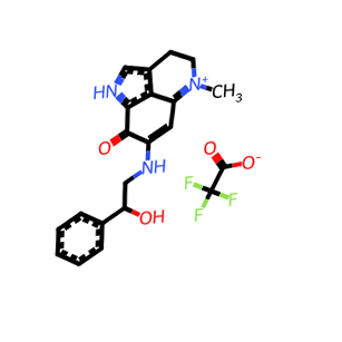 C[N+]1=C2C=C(NCC(O)c3ccccc3)C(=O)c3[nH]cc(c32)CC1.O=C([O-])C(F)(F)F